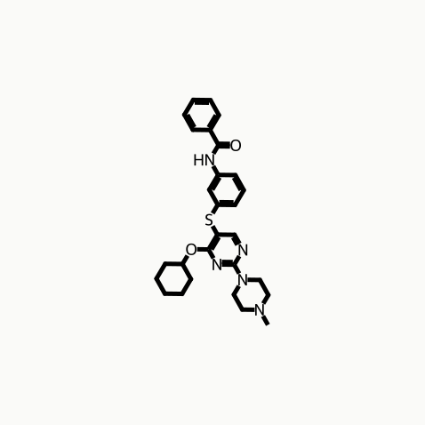 CN1CCN(c2ncc(Sc3cccc(NC(=O)c4ccccc4)c3)c(OC3CCCCC3)n2)CC1